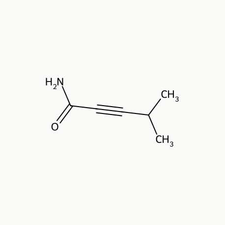 CC(C)C#CC(N)=O